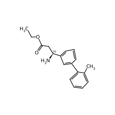 CCOC(=O)C[C@H](N)c1cccc(-c2ccccc2C)c1